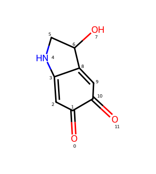 O=C1C=C2NCC(O)C2=CC1=O